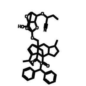 CCC(C#N)OC1C2OC3(OCC45CC6C(C)CCC6C6(C=O)CC4C=C(C(C)C)C65C(=O)OC(c4ccccc4)c4ccccc4)OC2OC1C3O